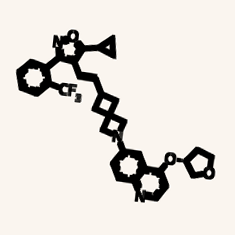 FC(F)(F)c1ccccc1-c1noc(C2CC2)c1/C=C/C1CC2(C1)CN(c1ccc3nccc(O[C@@H]4CCOC4)c3c1)C2